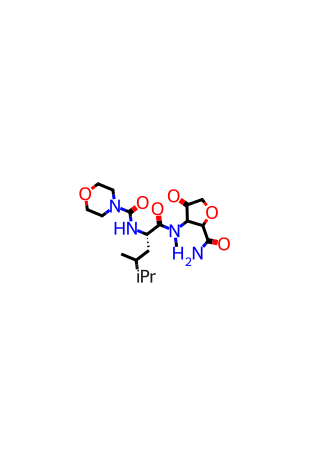 CC(C)C(C)C[C@H](NC(=O)N1CCOCC1)C(=O)N(C)C1C(=O)COC1C(N)=O